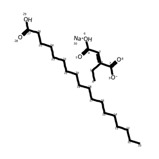 CC/C(=C\C(=O)O)C(=O)[O-].CCCCCCCCCCCCCCCCCC(=O)O.[Na+]